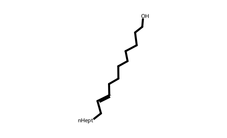 CCCCCCCC/C=[C]/CCCCCCCCO